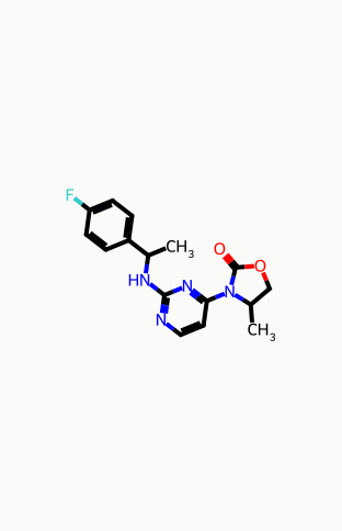 CC(Nc1nccc(N2C(=O)OCC2C)n1)c1ccc(F)cc1